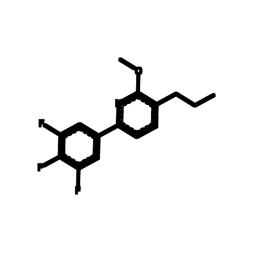 CCCc1ccc(-c2cc(F)c(F)c(F)c2)nc1OC